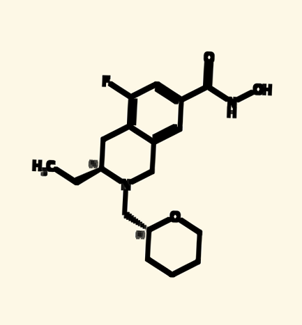 CC[C@H]1Cc2c(F)cc(C(=O)NO)cc2CN1C[C@H]1CCCCO1